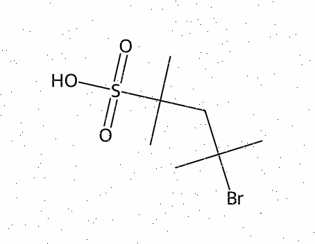 CC(C)(Br)CC(C)(C)S(=O)(=O)O